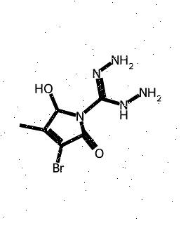 CC1=C(Br)C(=O)N(/C(=N/N)NN)C1O